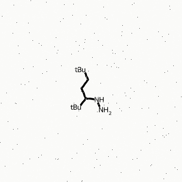 CC(C)(C)CCC(NN)C(C)(C)C